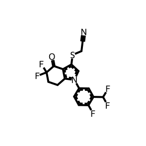 N#CCSc1cn(-c2ccc(F)c(C(F)F)c2)c2c1C(=O)C(F)(F)CC2